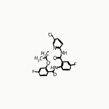 CC(C)Oc1cc(F)ccc1C(=O)Nc1ccc(F)cc1C(=O)Nc1ccc(Cl)cn1